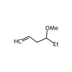 [CH]=CCC(CC)OC